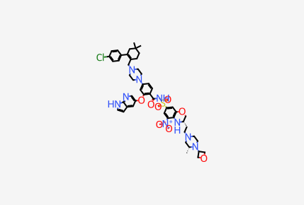 C[C@@H]1CN(CC[C@H]2COc3cc(S(=O)(=O)NC(=O)c4ccc(N5CCN(CC6=C(c7ccc(Cl)cc7)CC(C)(C)CC6)CC5)cc4Oc4cnc5[nH]ccc5c4)cc([N+](=O)[O-])c3N2)CCN1C1COC1